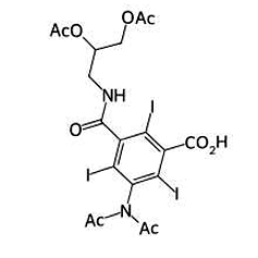 CC(=O)OCC(CNC(=O)c1c(I)c(C(=O)O)c(I)c(N(C(C)=O)C(C)=O)c1I)OC(C)=O